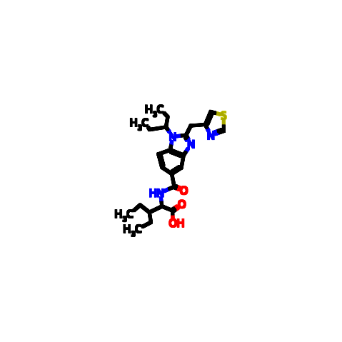 CCC(CC)C(NC(=O)c1ccc2c(c1)nc(Cc1cscn1)n2C(CC)CC)C(=O)O